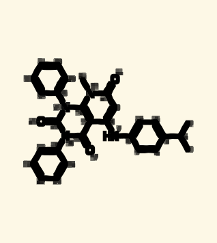 CC(C)c1ccc(Nc2cc(=O)n(C)c3c2c(=O)n(-c2ccccc2)c(=O)n3-c2ccccc2)cc1